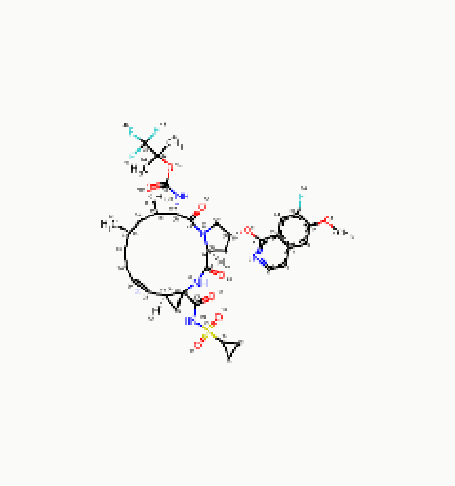 COc1cc2ccnc(O[C@@H]3C[C@H]4C(=O)N[C@]5(C(=O)NS(=O)(=O)C6CC6)C[C@H]5/C=C\CC[C@@H](C)C[C@@H](C)[C@H](NC(=O)OC(C)(C)C(F)(F)F)C(=O)N4C3)c2cc1F